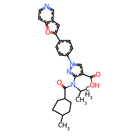 CC1CCC(C(=O)N(c2nn(-c3ccc(-c4cc5cnccc5o4)cc3)cc2C(=O)O)C(C)C)CC1